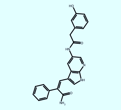 NC(=O)C(=Cc1c[nH]c2ncc(NC(=O)Cc3cccc(O)c3)cc12)c1ccccc1